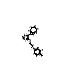 Fc1ccc(OCCSc2nsnc2C2CN3CCCC2C3)cc1